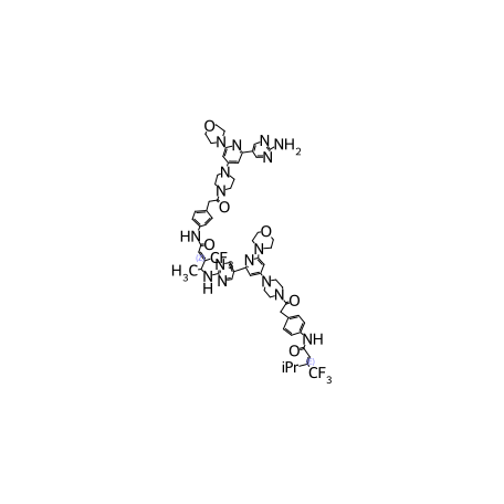 CC(Nc1ncc(-c2cc(N3CCN(C(=O)Cc4ccc(NC(=O)/C=C(\C(C)C)C(F)(F)F)cc4)CC3)cc(N3CCOCC3)n2)cn1)/C(=C/C(=O)Nc1ccc(CC(=O)N2CCN(c3cc(-c4cnc(N)nc4)nc(N4CCOCC4)c3)CC2)cc1)C(F)(F)F